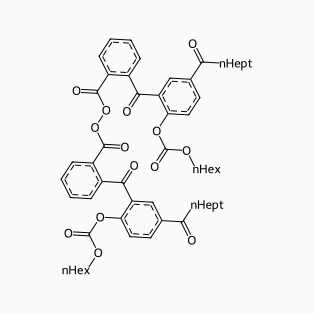 CCCCCCCC(=O)c1ccc(OC(=O)OCCCCCC)c(C(=O)c2ccccc2C(=O)OOC(=O)c2ccccc2C(=O)c2cc(C(=O)CCCCCCC)ccc2OC(=O)OCCCCCC)c1